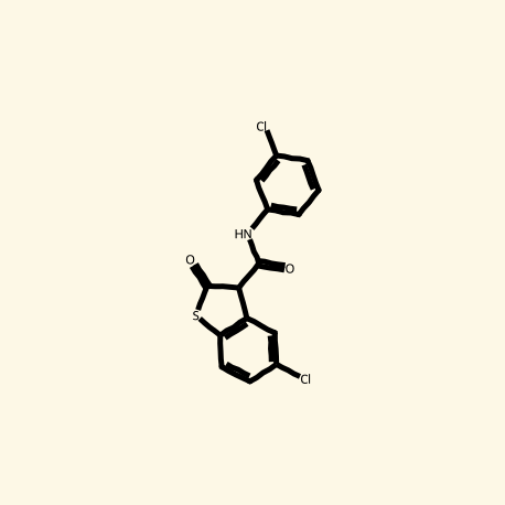 O=C(Nc1cccc(Cl)c1)C1C(=O)Sc2ccc(Cl)cc21